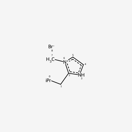 CC(C)Cc1[nH]cc[n+]1C.[Br-]